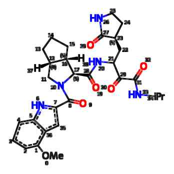 COc1cccc2[nH]c(C(=O)N3C[C@@H]4CCC[C@@H]4[C@H]3C(=O)NC(C[C@@H]3CCNC3=O)C(=O)C(=O)NC(C)C)cc12